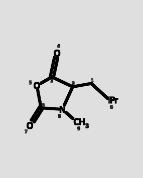 CC(C)CC1C(=O)OC(=O)N1C